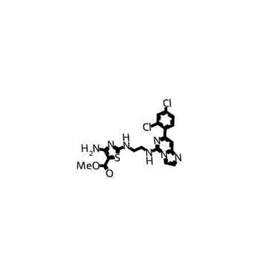 COC(=O)c1sc(NCCNc2nc(-c3ccc(Cl)cc3Cl)cc3nccn23)nc1N